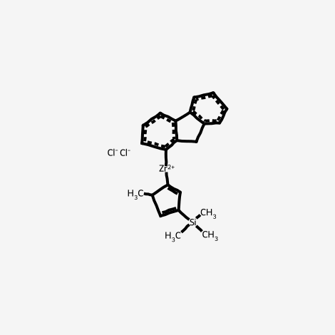 CC1C=C([Si](C)(C)C)C=[C]1[Zr+2][c]1cccc2c1Cc1ccccc1-2.[Cl-].[Cl-]